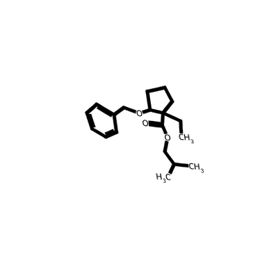 CCC1(C(=O)OCC(C)C)CCCC1OCc1ccccc1